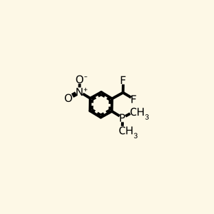 CP(C)c1ccc([N+](=O)[O-])cc1C(F)F